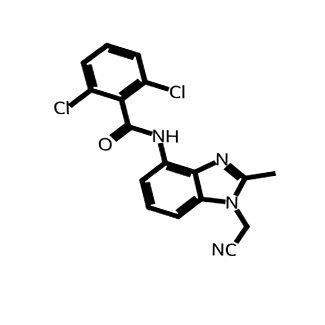 Cc1nc2c(NC(=O)c3c(Cl)cccc3Cl)cccc2n1CC#N